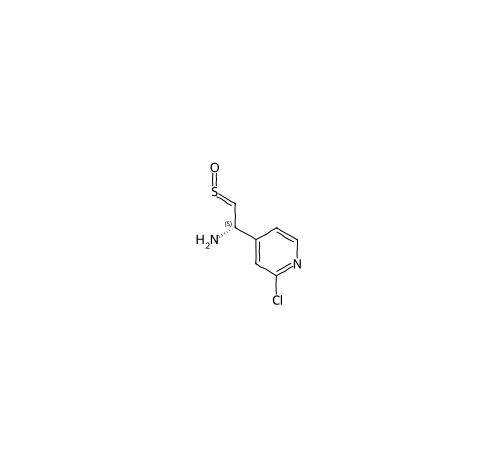 N[C@H](C=S=O)c1ccnc(Cl)c1